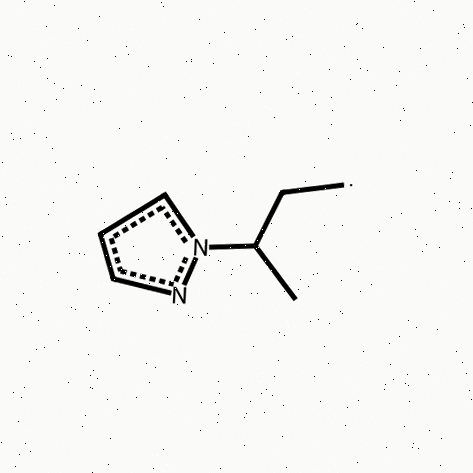 [CH2]CC(C)n1cccn1